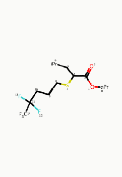 CCCOC(=O)C(CC(C)C)SCCCC(F)(F)C(F)(F)F